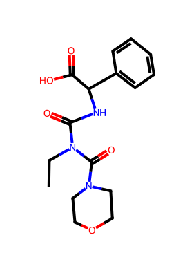 CCN(C(=O)NC(C(=O)O)c1ccccc1)C(=O)N1CCOCC1